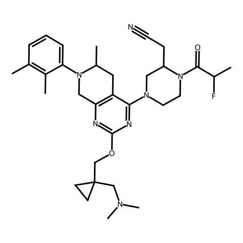 Cc1cccc(N2Cc3nc(OCC4(CN(C)C)CC4)nc(N4CCN(C(=O)C(C)F)C(CC#N)C4)c3CC2C)c1C